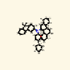 CC1(C)c2ccccc2-c2cc(N(c3ccc(-c4ccccc4)cc3)c3cc4ccccc4c4ccc5ccccc5c34)ccc21